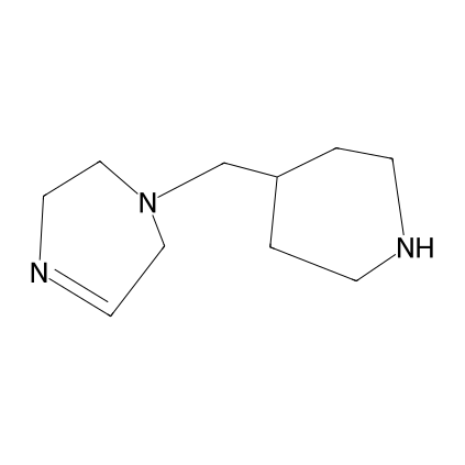 C1=NCCN(CC2CCNCC2)C1